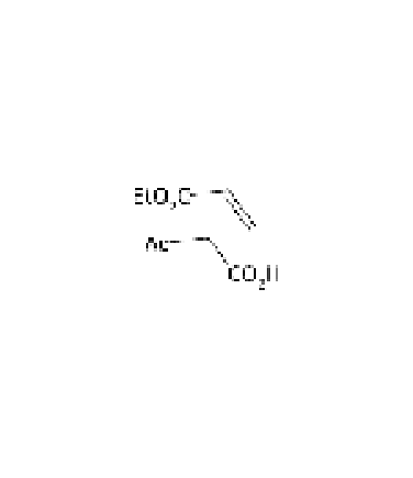 C=CC(=O)OCC.CC(=O)CC(=O)O